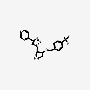 FC(F)(F)c1ccc(COC2CNCC2n2cc(-c3ccncn3)nn2)cc1